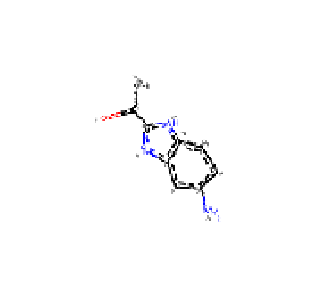 CC(C)(C)C(=O)c1nc2cc(N)ccc2[nH]1